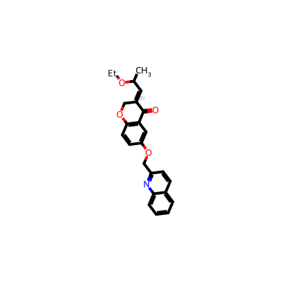 CCOC(C)/C=C1\COc2ccc(OCc3ccc4ccccc4n3)cc2C1=O